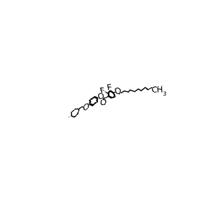 CCCCCCCCCCCOc1ccc(C(=O)Oc2ccc(OCC3CC[CH]CC3)cc2)c(F)c1F